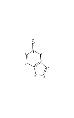 O=C1C=CC2=C(C=NC2)C1